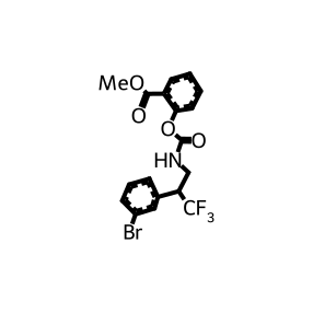 COC(=O)c1ccccc1OC(=O)NCC(c1cccc(Br)c1)C(F)(F)F